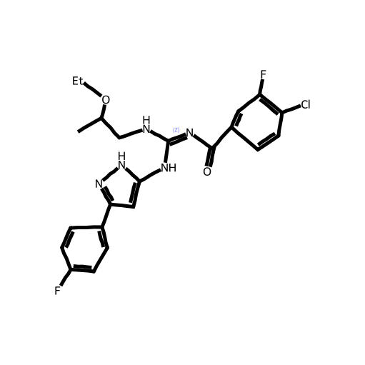 CCOC(C)CN/C(=N/C(=O)c1ccc(Cl)c(F)c1)Nc1cc(-c2ccc(F)cc2)n[nH]1